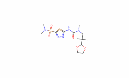 CN(CC(C)(C)C1OCCO1)C(=O)Nc1nnc(S(=O)(=O)N(C)C)s1